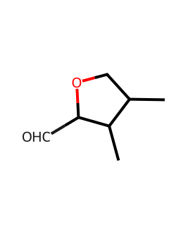 CC1COC(C=O)C1C